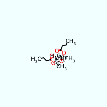 CCCC(=O)[O][Sn]([CH3])([CH3])[O][Sn]([CH3])([CH3])[O]C(=O)CCC